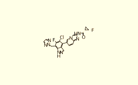 O=C(Nc1cn2cc(-c3c(Cl)c(F)c(Cn4nccn4)c4[nH]ncc34)ccc2n1)[C@@H]1C[C@@H]1F